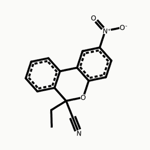 CCC1(C#N)Oc2ccc([N+](=O)[O-])cc2-c2ccccc21